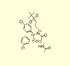 CC(=O)NC[C@@H]1O[C@H](c2cccc(Cl)c2)[C@@H](c2ccc(Cl)cc2)N([C@@H](C)CCS(=O)(=O)C(C)(C)C)C1=O